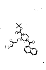 CC(C)(C)OC(=O)N1CCN(C(=O)c2cccc3ccccc23)C[C@@H]1CCC(=O)CS